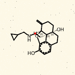 C=C1CC[C@@]2(O)CCc3ccc(O)c4c3[C@@]2(CCNCC2CC2)[C@H]1O4